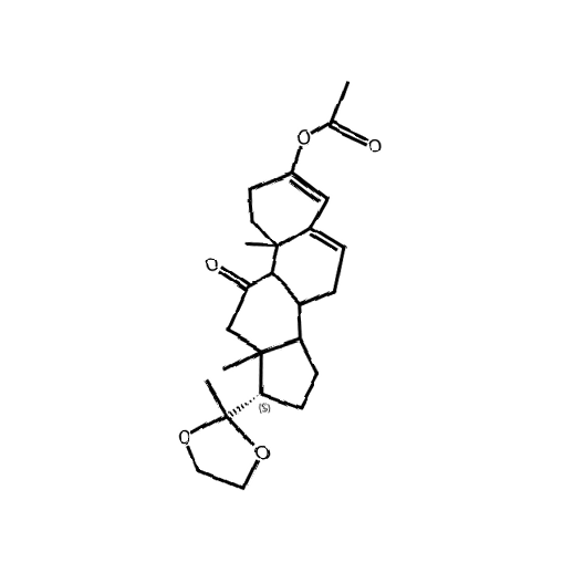 CC(=O)OC1=CC2=CCC3C(C(=O)CC4(C)C3CC[C@@H]4C3(C)OCCO3)C2(C)CC1